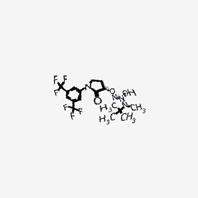 CN(/[N+](O)=N/O[C@@H]1CCN(c2cc(C(F)(F)F)cc(C(F)(F)F)c2)C1=O)C(C)(C)C